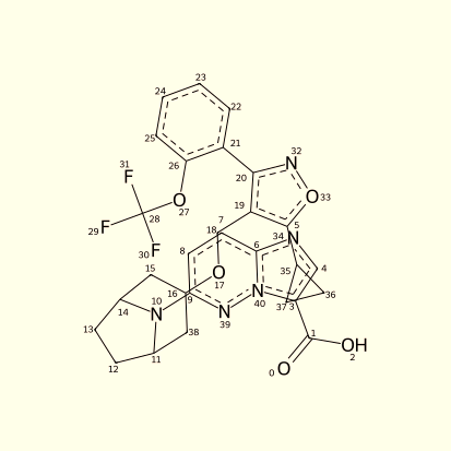 O=C(O)c1cnc2ccc(N3C4CCC3CC(OCc3c(-c5ccccc5OC(F)(F)F)noc3C3CC3)C4)nn12